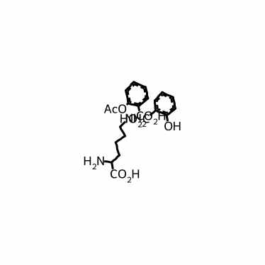 CC(=O)Oc1ccccc1C(=O)O.NCCCCC(N)C(=O)O.O=C(O)c1ccccc1O